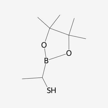 CC(S)B1OC(C)(C)C(C)(C)O1